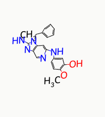 CNc1nc2cnc(Nc3ccc(OC)c(O)c3)cc2n1Cc1ccccc1